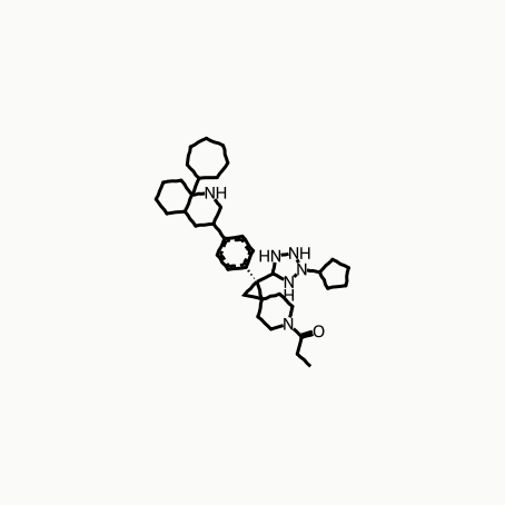 CCC(=O)N1CCC2(CC1)C[C@@]2(c1ccc(C2CNC3(C4CCCCCC4)CCCCC3C2)cc1)C1NNN(C2CCCC2)N1